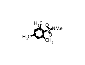 [CH2-][NH2+]S(=O)(=O)c1c(C)cc(C)cc1C